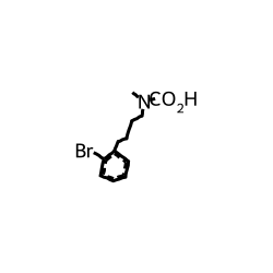 CN(CCCCc1ccccc1Br)C(=O)O